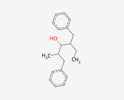 CCC(Cc1ccccc1)C(O)C(C)Cc1ccccc1